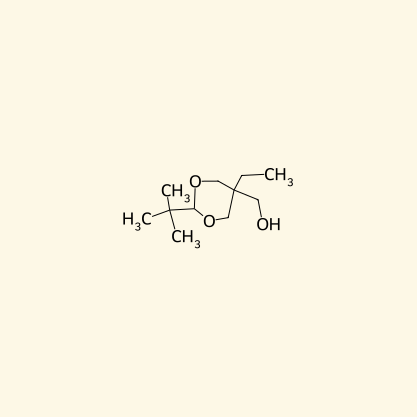 CCC1(CO)COC(C(C)(C)C)OC1